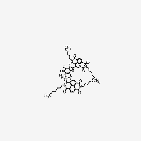 C=C(SC1=C(N)C(=O)C(=O)c2nc(-c3cc4c5c(ccc6c5c3C(=O)N(CCCCCC)C6=O)C(=O)N(CCCCCC)C4=O)sc21)c1cc2c3c(ccc4c3c1C(=O)N(CCCCCC)C4=O)C(=O)N(CCCCCC)C2=O